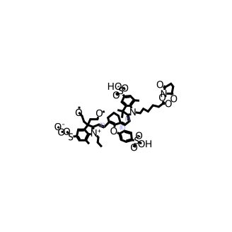 CCC[N+]1=C(/C=C/C2=C(Oc3ccc(S(=O)(=O)O)cc3)C(=C/C=C3/N(CCCCCC(=O)ON4C(=O)CCC4=O)c4c(C)cc(S(=O)(=O)O)cc4C3(C)C)/CCC2)C(CCOC)(CCOC)c2cc(SOO[O-])cc(C)c21